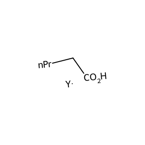 CCCCC(=O)O.[Y]